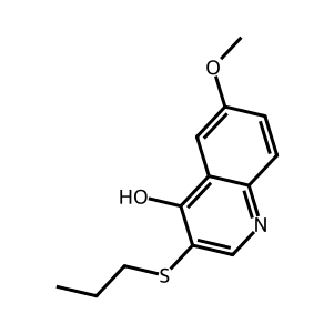 CCCSc1cnc2ccc(OC)cc2c1O